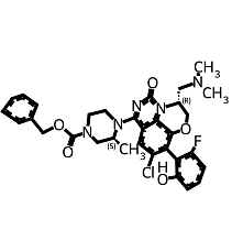 C[C@H]1CN(C(=O)OCc2ccccc2)CCN1c1nc(=O)n2c3c(c(-c4c(O)cccc4F)c(Cl)cc13)OC[C@H]2CN(C)C